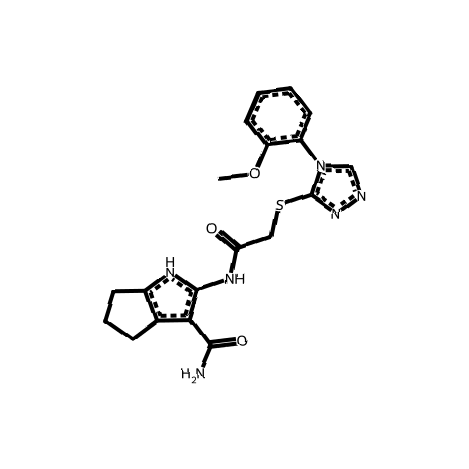 COc1ccccc1-n1cnnc1SCC(=O)Nc1[nH]c2c(c1C(N)=O)CCC2